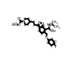 C[SiH](C)OC(c1c(COc2ccc(F)cc2)ccc2c(CCC3CCN(C(=O)OC(C)(C)C)CC3)noc12)C(C)(C)C